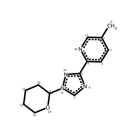 Cc1ccc(-c2ncn(C3CCCCO3)n2)nc1